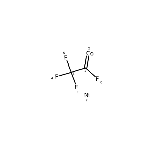 F[C](=[Co])C(F)(F)F.[Ni]